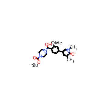 COc1cc(-c2cc(C)c(=O)n(C)c2)ccc1C(O)N1CCN(C(=O)OC(C)(C)C)CC1